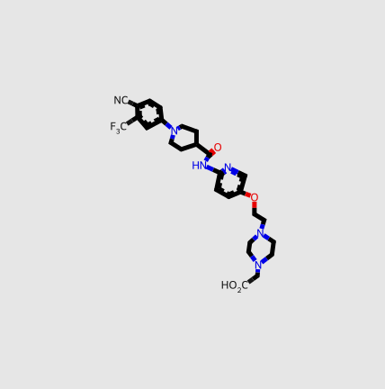 N#Cc1ccc(N2CCC(C(=O)Nc3ccc(OCCN4CCN(CC(=O)O)CC4)cn3)CC2)cc1C(F)(F)F